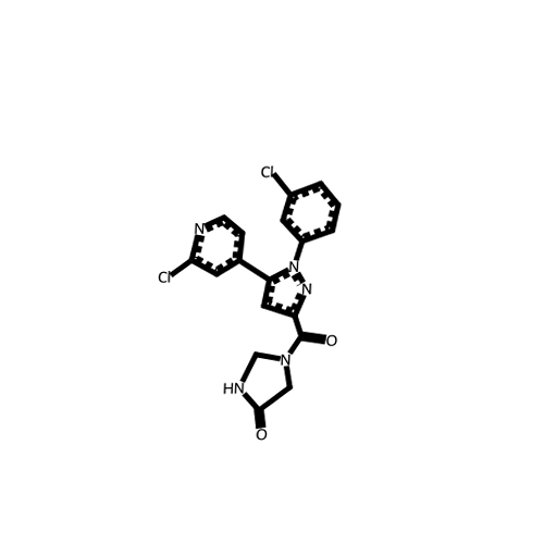 O=C1CN(C(=O)c2cc(-c3ccnc(Cl)c3)n(-c3cccc(Cl)c3)n2)CN1